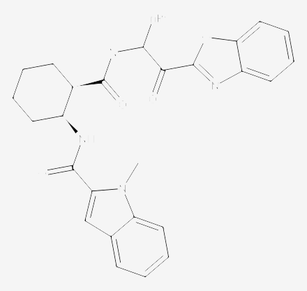 CCCC(NC(=O)[C@@H]1CCCC[C@@H]1NC(=O)c1cc2ccccc2n1C)C(=O)c1nc2ccccc2o1